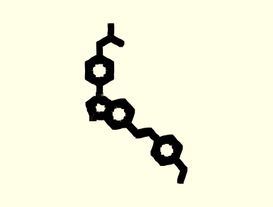 CCc1ccc(/C=C/c2ccc3c(c2)ncn3-c2ccc(CC(C)C)cc2)cc1